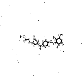 COc1cc(C)c(F)c(COc2cnc(Nc3cc(CCC(=O)O)n(C)n3)nc2)c1F